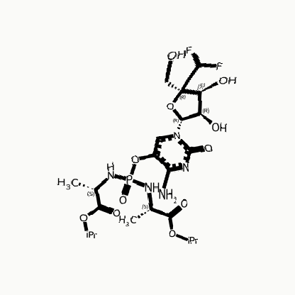 CC(C)OC(=O)[C@H](C)NP(=O)(N[C@@H](C)C(=O)OC(C)C)Oc1cn([C@@H]2O[C@@](CO)(C(F)F)[C@@H](O)[C@H]2O)c(=O)nc1N